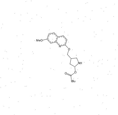 COc1ccc2ccc(OCC3CNC(OC(=O)C(C)(C)C)C3)nc2c1